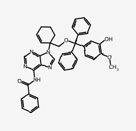 COc1ccc(C(OCC2(n3cnc4c(NC(=O)c5ccccc5)ncnc43)C=CCCC2)(c2ccccc2)c2ccccc2)cc1O